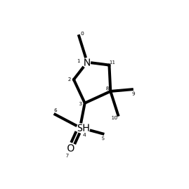 CN1CC([SH](C)(C)=O)C(C)(C)C1